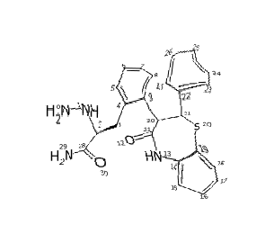 NN[C@@H](Cc1ccccc1C1C(=O)Nc2ccccc2SC1c1ccccc1)C(N)=O